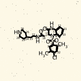 Cc1cc(S(=O)(=O)N2c3ccccc3NC(=O)[C@H]2CC(=O)NCCC2CCNCC2)c(C)cc1Cl